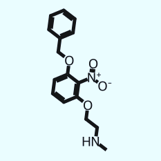 CNCCOc1cccc(OCc2ccccc2)c1[N+](=O)[O-]